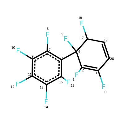 FC1=C(F)C(F)(c2c(F)c(F)c(F)c(F)c2F)C(F)[C]=C1